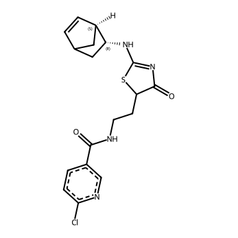 O=C(NCCC1SC(N[C@@H]2CC3C=C[C@@H]2C3)=NC1=O)c1ccc(Cl)nc1